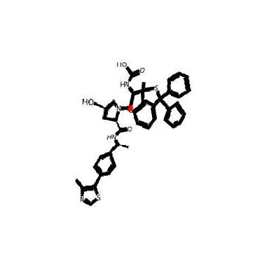 Cc1ncsc1-c1ccc([C@H](C)NC(=O)[C@H]2C[C@@H](O)CN2C(=O)C(NC(=O)O)C(C)(C)SC(c2ccccc2)(c2ccccc2)c2ccccc2)cc1